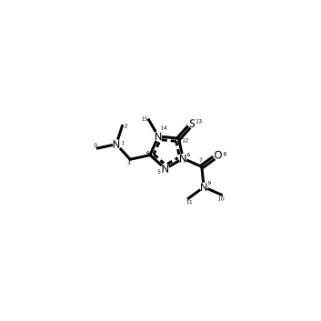 CN(C)Cc1nn(C(=O)N(C)C)c(=S)n1C